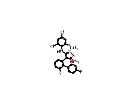 Cc1nn(C)c(Nc2c(F)cc(Cl)cc2Cl)c1-c1cccc(F)c1-c1ccc(F)cc1Cl